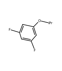 C[C](C)Oc1cc(F)cc(F)c1